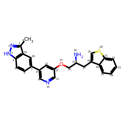 Cc1n[nH]c2ccc(-c3cncc(OC[C@@H](N)Cc4csc5ccccc45)c3)cc12